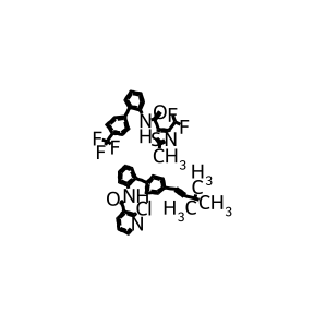 CC(C)(C)C#Cc1ccc(-c2ccccc2NC(=O)c2cccnc2Cl)cc1.Cc1nc(C(F)F)c(C(=O)Nc2ccccc2-c2ccc(C(F)(F)F)cc2)s1